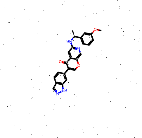 COc1cccc([C@H](C)Nc2cc3c(=O)c(-c4ccc5cn[nH]c5c4)coc3cn2)c1